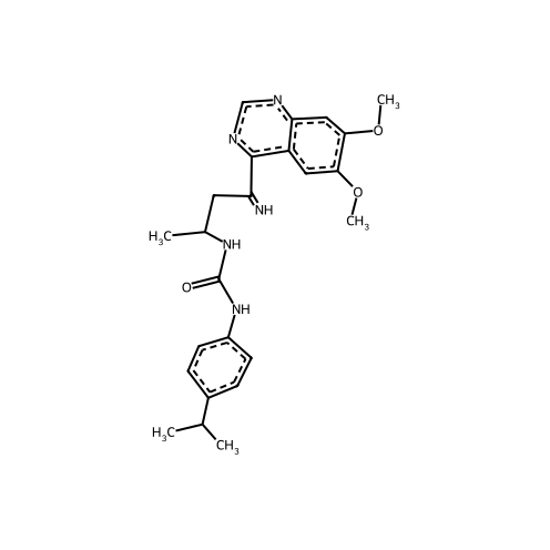 COc1cc2ncnc(C(=N)CC(C)NC(=O)Nc3ccc(C(C)C)cc3)c2cc1OC